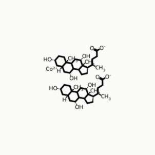 C[C@H](CCC(=O)[O-])[C@H]1CCC2C3C(C[C@H](O)[C@@]21C)[C@@]1(C)CC[C@@H](O)C[C@H]1C[C@H]3O.C[C@H](CCC(=O)[O-])[C@H]1CCC2C3C(C[C@H](O)[C@@]21C)[C@@]1(C)CC[C@@H](O)C[C@H]1C[C@H]3O.[Co+2]